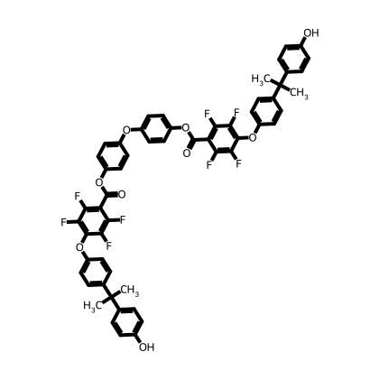 CC(C)(c1ccc(O)cc1)c1ccc(Oc2c(F)c(F)c(C(=O)Oc3ccc(Oc4ccc(OC(=O)c5c(F)c(F)c(Oc6ccc(C(C)(C)c7ccc(O)cc7)cc6)c(F)c5F)cc4)cc3)c(F)c2F)cc1